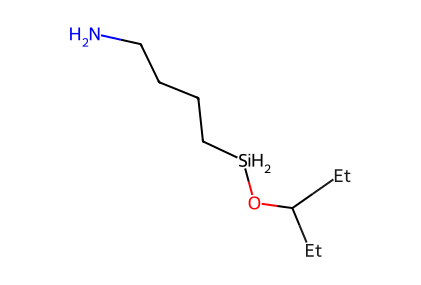 CCC(CC)O[SiH2]CCCCN